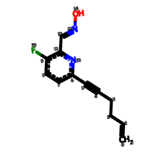 C=CCCC#Cc1ccc(F)c(C=NO)n1